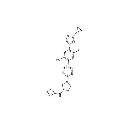 Oc1cc(-c2cnc(C3CC3)s2)c(F)cc1-c1ccc(N2CCC(NC3CCC3)C2)nn1